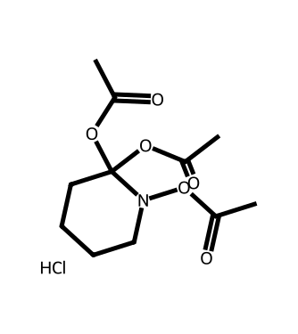 CC(=O)ON1CCCCC1(OC(C)=O)OC(C)=O.Cl